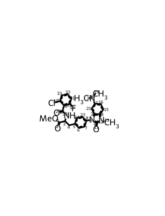 COC(=O)C(Cc1ccc(-n2c(=O)n(C)c3ccc(N(C)C)cc32)cc1)NC(=O)c1c(F)cccc1Cl